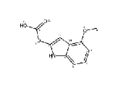 COc1cccc2[nH]c(OC(=O)O)cc12